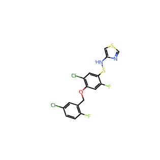 Fc1ccc(Cl)cc1COc1cc(F)c(SNc2cscn2)cc1Cl